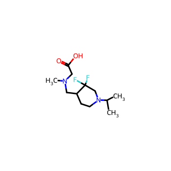 CC(C)N1CCC(CN(C)CC(=O)O)C(F)(F)C1